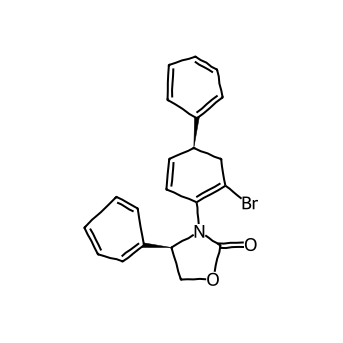 O=C1OC[C@@H](c2ccccc2)N1C1=C(Br)C[C@H](c2ccccc2)C=C1